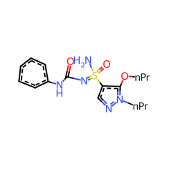 CCCOc1c(S(N)(=O)=NC(=O)Nc2ccccc2)cnn1CCC